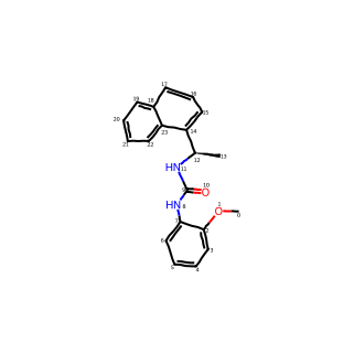 COc1ccccc1NC(=O)N[C@H](C)c1cccc2ccccc12